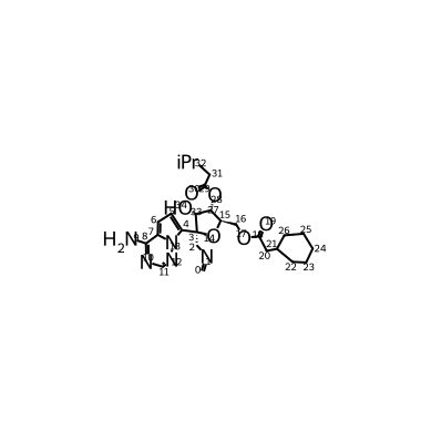 C=NC[C@@]1(c2ccc3c(N)ncnn23)O[C@H](COC(=O)CC2CCCCC2)[C@@H](OC(=O)CC(C)C)[C@H]1O